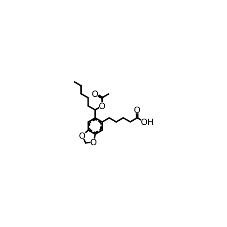 CCCCCC(OC(C)=O)c1cc2c(cc1CCCCC(=O)O)OCO2